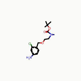 CN(CCOCc1ccc(N)cc1Cl)C(=O)OC(C)(C)C